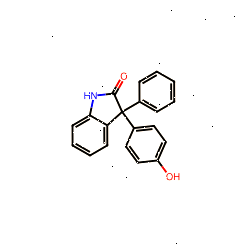 O=C1Nc2ccccc2C1(c1ccccc1)c1ccc(O)cc1